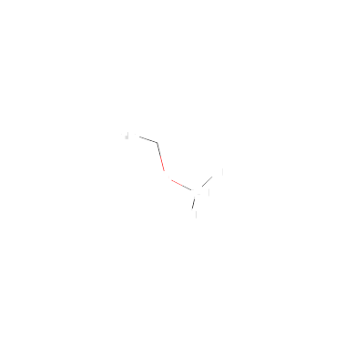 CCCCO[SiH](C)C